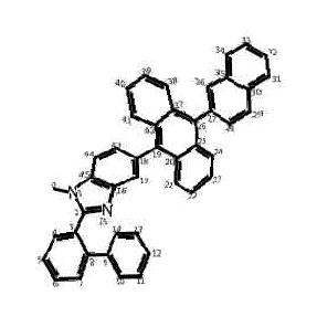 Cn1c(-c2ccccc2-c2ccccc2)nc2cc(-c3c4ccccc4c(-c4ccc5ccccc5c4)c4ccccc34)ccc21